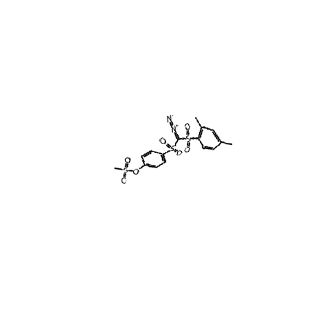 Cc1ccc(S(=O)(=O)C(=[N+]=[N-])S(=O)(=O)c2ccc(OS(C)(=O)=O)cc2)c(C)c1